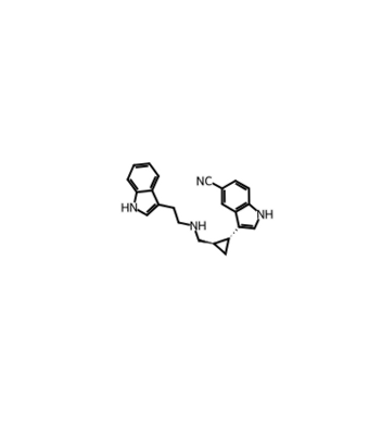 N#Cc1ccc2[nH]cc([C@@H]3C[C@H]3CNCCc3c[nH]c4ccccc34)c2c1